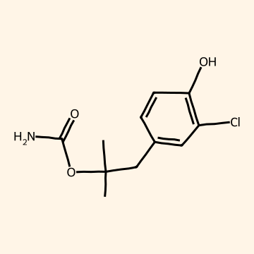 CC(C)(Cc1ccc(O)c(Cl)c1)OC(N)=O